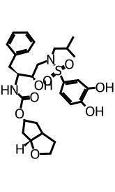 CC(C)CN(C[C@@H](O)[C@H](Cc1ccccc1)NC(=O)O[C@@H]1CC2CCO[C@@H]2C1)S(=O)(=O)c1ccc(O)c(O)c1